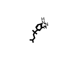 CC(C)CCC(C)(C)c1ccc2[nH]nnc2c1